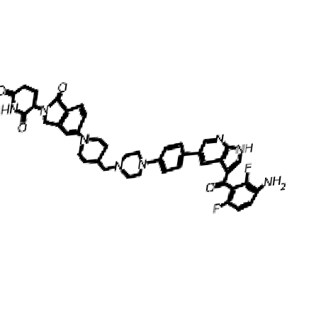 Nc1ccc(F)c(C(=O)c2c[nH]c3ncc(-c4ccc(N5CCN(CC6CCN(c7ccc8c(c7)CN(C7CCC(=O)NC7=O)C8=O)CC6)CC5)cc4)cc23)c1F